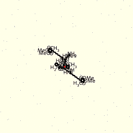 COC1=C(OC)C(=O)C(CCCCCCCCCC(=O)NCCCCC(NC(=O)[C@H](Cc2c(C)cc(O)cc2C)NC(=O)[C@](C)(CCCNC(=N)N)NC(=O)CCCCCCCCCC2=C(C)C(=O)C(OC)=C(OC)C2=O)C(=O)N[C@@H](Cc2ccccc2)C(N)=O)=C(C)C1=O